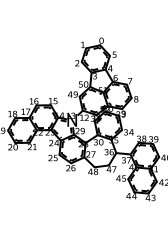 c1ccc2c(c1)-c1cccc3cc(-n4c5ccc6ccccc6c5c5ccc6c(c54)-c4ccccc4C(c4cccc5ccccc45)CC6)cc-2c13